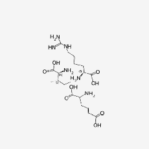 CC[C@H](C)[C@H](N)C(=O)O.N=C(N)NCCCC[C@H](N)C(=O)O.NC(CCCC(=O)O)C(=O)O